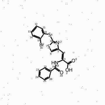 O=C(O)C(=Cc1csc(Sc2ccccc2Br)n1)NC(=O)c1ccccc1